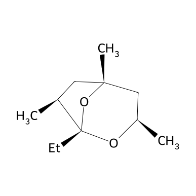 CC[C@@]12O[C@H](C)C[C@@](C)(C[C@@H]1C)O2